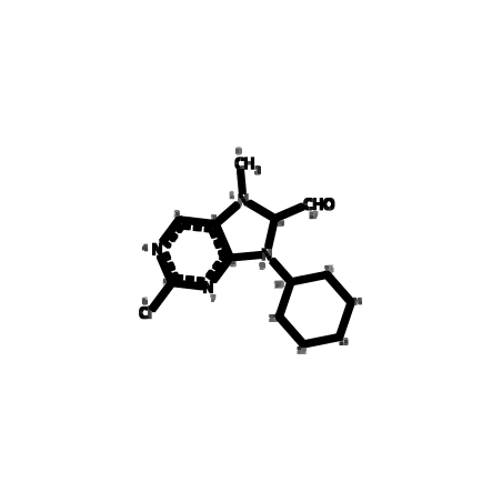 CN1c2cnc(Cl)nc2N(C2CCCCC2)C1C=O